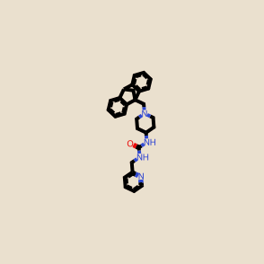 O=C(NCc1ccccn1)NC1CCN(CC23CC(c4ccccc42)c2ccccc23)CC1